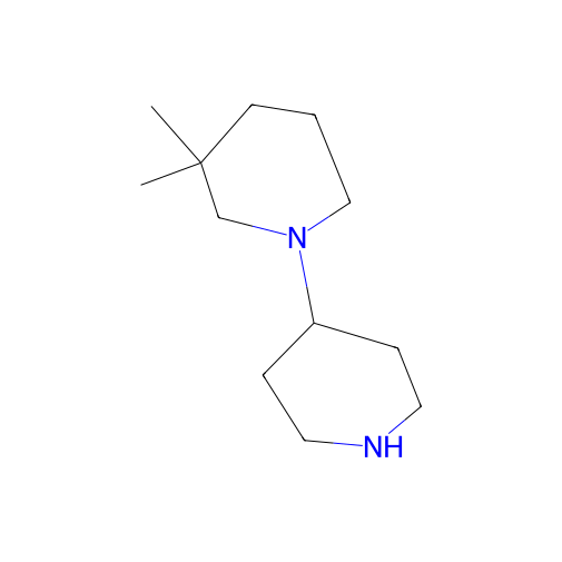 CC1(C)CCCN(C2CCNCC2)C1